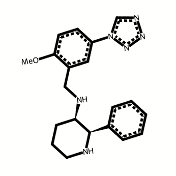 COc1ccc(-n2cnnn2)cc1CN[C@@H]1CCCN[C@@H]1c1ccccc1